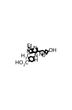 CCn1nc(C)c2c(NC3CCC(C(=O)O)CC3)c(C3=NOC4(C3)CC(O)C4)cnc21